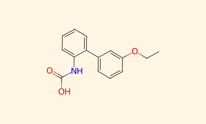 CCOc1cccc(-c2ccccc2NC(=O)O)c1